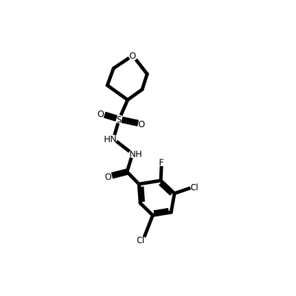 O=C(NNS(=O)(=O)C1CCOCC1)c1cc(Cl)cc(Cl)c1F